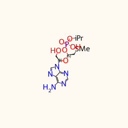 CSC[C@@H](O[C@H](CO)n1cnc2c(N)ncnc21)OP(=O)(O)OC(C)C